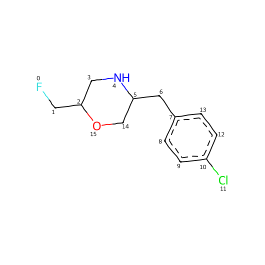 FCC1CNC(Cc2ccc(Cl)cc2)CO1